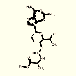 CC(C)OC(=O)[C@H](C)N[PH](=O)OCC(O[C@H](CF)n1cnc2c(N)nc(N)nc21)[C@H](C)O